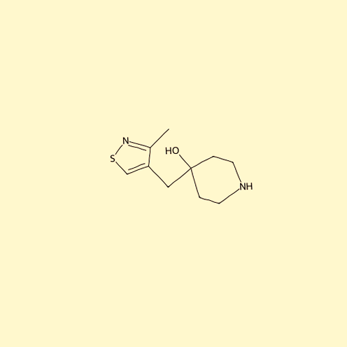 Cc1nscc1CC1(O)CCNCC1